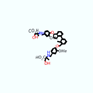 COc1cc(CN[C@@](C)(CO)C(=O)O)ccc1OCc1cccc(-c2cccc3c2CCC3Oc2ccc(CN[C@@](C)(CO)C(=O)O)cc2OC)c1C